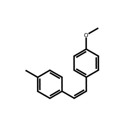 COc1ccc(/C=C\c2ccc(C)cc2)cc1